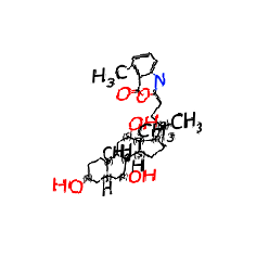 Cc1cccc2nc(CC[C@@H](C)[C@H]3CC[C@H]4[C@H]5C(C[C@H](O)[C@]34C)[C@@]3(C)CC[C@@H](O)C[C@H]3C[C@H]5O)oc(=O)c12